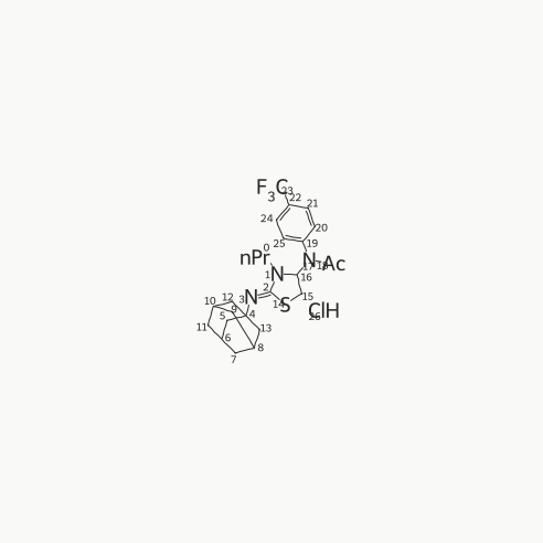 CCCN1C(=NC23CC4CC(CC(C4)C2)C3)SCC1N(C(C)=O)c1ccc(C(F)(F)F)cc1.Cl